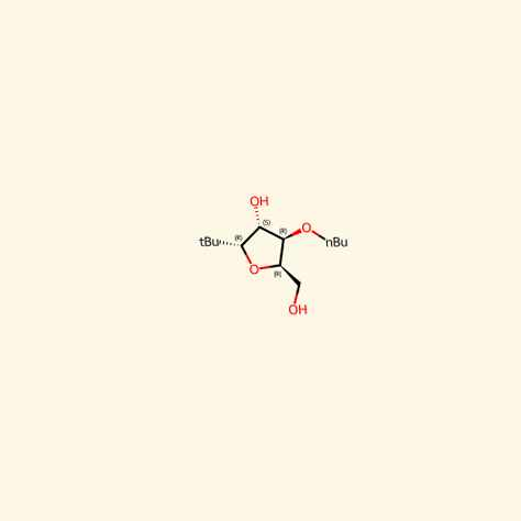 CCCCO[C@@H]1[C@@H](O)[C@@H](C(C)(C)C)O[C@@H]1CO